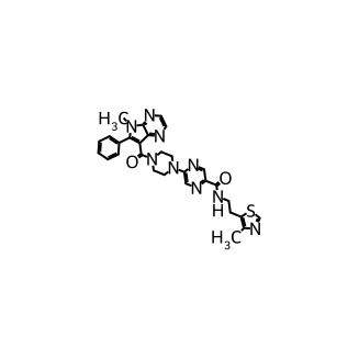 Cc1ncsc1CCNC(=O)c1cnc(N2CCN(C(=O)c3c(-c4ccccc4)n(C)c4nccnc34)CC2)cn1